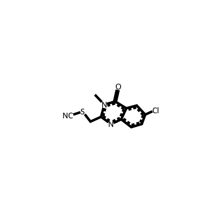 Cn1c(CSC#N)nc2ccc(Cl)cc2c1=O